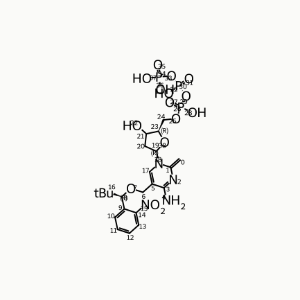 C=C1N=C(N)C(CO[C@@H](c2ccccc2[N+](=O)[O-])C(C)(C)C)=CN1[C@H]1CC(O)[C@@H](COP(=O)(O)OP(=O)(O)OP(=O)(O)O)O1